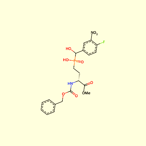 COC(=O)[C@@H](CCP(=O)(O)C(O)c1ccc(F)c([N+](=O)[O-])c1)NC(=O)OCc1ccccc1